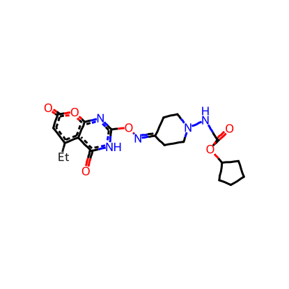 CCc1cc(=O)oc2nc(ON=C3CCN(NC(=O)OC4CCCC4)CC3)[nH]c(=O)c12